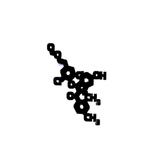 Cc1ccc(C(=O)c2sc3cc(O)ccc3c2Oc2c(Cl)cc(/C=C/OC=O)cc2Cl)c(C)c1